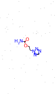 NC(=O)OCCn1ncnn1